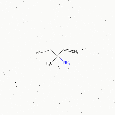 C=CC(C)(N)CCCC